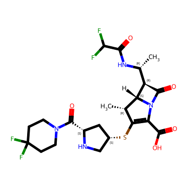 C[C@@H](NC(=O)C(F)F)[C@H]1C(=O)N2C(C(=O)O)=C(S[C@@H]3CN[C@H](C(=O)N4CCC(F)(F)CC4)C3)[C@H](C)[C@H]12